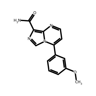 COc1cccc(-c2ccnc3c(C(N)=O)ncn23)c1